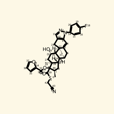 C[C@@H]1C[C@H]2[C@@H]3CCC4=Cc5c(cnn5-c5ccc(F)cc5)C[C@]4(C)[C@H]3[C@@H](O)C[C@]2(C)[C@@]1(OC(=O)c1ccco1)C(=O)SCC#N